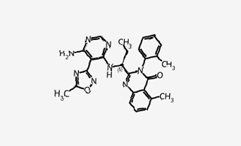 CC[C@H](Nc1ncnc(N)c1-c1noc(C)n1)c1nc2cccc(C)c2c(=O)n1-c1ccccc1C